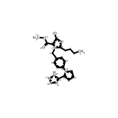 CCCCc1nc(Cl)c(C(=O)OC)n1Cc1ccc(-n2cccc2-c2nnn[nH]2)cc1